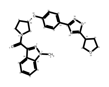 Cn1nc(C(=O)N2CC[C@H](Oc3ccc(-c4noc(C5CCOC5)n4)cc3)C2)c2ccccc21